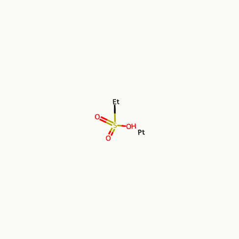 CCS(=O)(=O)O.[Pt]